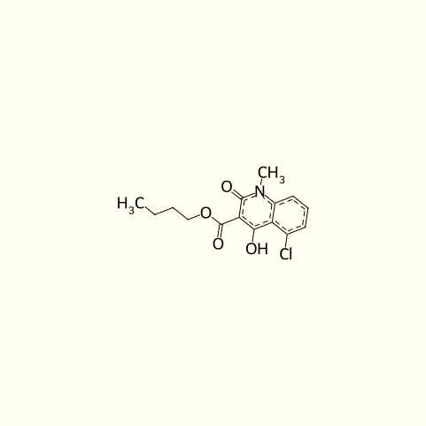 CCCCOC(=O)c1c(O)c2c(Cl)cccc2n(C)c1=O